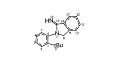 CC(C)(C)c1ccccc1N1Cc2ccccc2C1=N